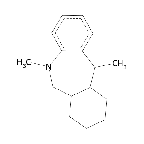 CC1c2ccccc2N(C)CC2CCCCC21